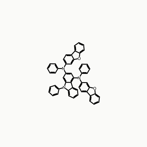 c1ccc(N(c2ccc3c(c2)oc2ccccc23)c2cc(N(c3ccccc3)c3ccc4c(c3)oc3ccccc34)c3c4ccccc4n(-c4ccccc4)c3c2)cc1